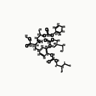 CCC(C)COC(=O)Oc1ccc(C[C@H](NCC(C)OC(=O)Oc2ccccc2)C(=O)OC)cc1OC(=O)OCC(C)CC